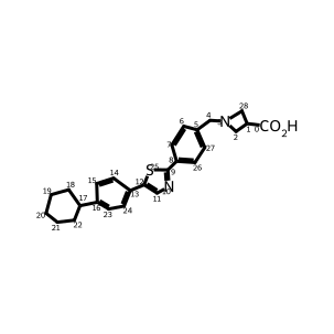 O=C(O)C1CN(Cc2ccc(-c3ncc(-c4ccc(C5CCCCC5)cc4)s3)cc2)C1